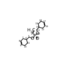 C=CP(=O)(OCC1CC=CCC1)OCC1CC=CCC1